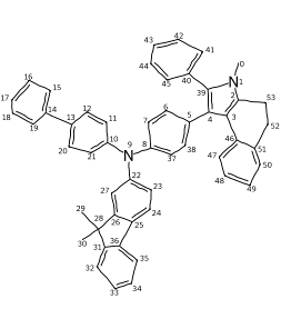 Cn1c2c(c(-c3ccc(N(c4ccc(-c5ccccc5)cc4)c4ccc5c(c4)C(C)(C)c4ccccc4-5)cc3)c1-c1ccccc1)-c1ccccc1CC2